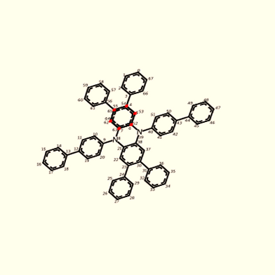 c1ccc(-c2ccc(N(c3ccc(-c4ccccc4)cc3)c3cc(-c4ccccc4)c(-c4ccccc4)cc3N(c3ccc(-c4ccccc4)cc3)c3ccc(-c4ccccc4)cc3)cc2)cc1